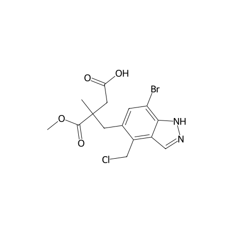 COC(=O)C(C)(CC(=O)O)Cc1cc(Br)c2[nH]ncc2c1CCl